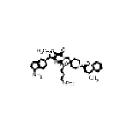 CCCCCCCCCCCCCCc1nc2c(-c3ccc4c(c3)CCC4N)n(C)nc2c(=O)n1CC1(O)CCN(C(=O)C[C@@H](C)c2ccccc2)CC1